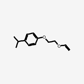 C=COCCOc1ccc(C(C)C)cc1